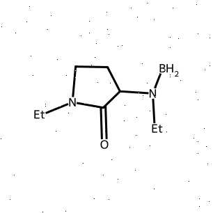 BN(CC)C1CCN(CC)C1=O